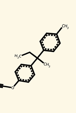 CCC(C)(c1ccc(C)cc1)c1ccc(OC#N)cc1